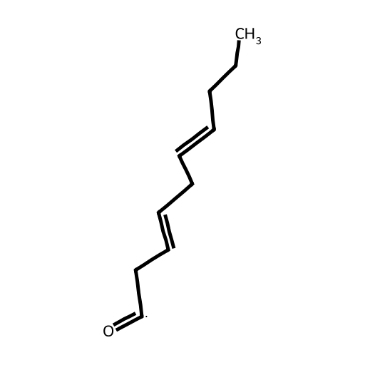 CCC/C=C/C/C=C/C[C]=O